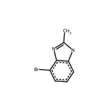 CC1=Nc2c(Br)cccc2[N]1